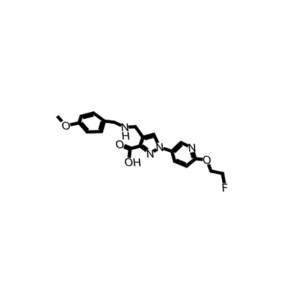 COc1ccc(CNCc2cn(-c3ccc(OCCF)nc3)nc2C(=O)O)cc1